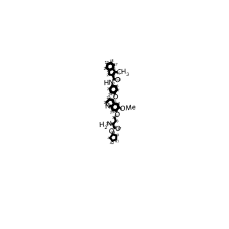 COc1cc2c(Oc3ccc(NC(=O)C4=C(C)c5ccccc5C4)cc3)ccnc2cc1OCC[C@H](N)C(=O)OC1CCCC1